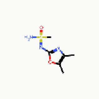 Cc1nc(N=S(C)(N)=O)oc1C